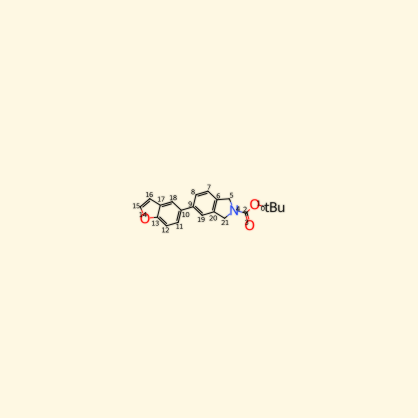 CC(C)(C)OC(=O)N1Cc2ccc(-c3ccc4occc4c3)cc2C1